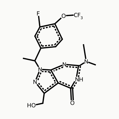 CC(c1ccc(OC(F)(F)F)c(F)c1)n1nc(CO)c2c(=O)[nH]c(N(C)C)nc21